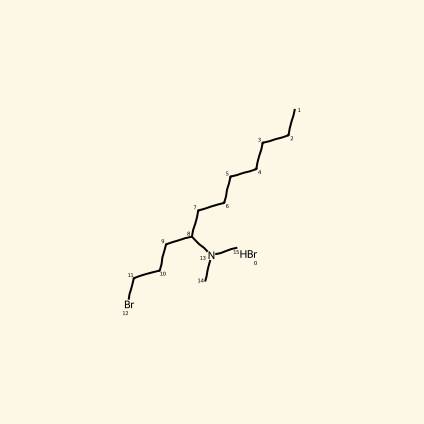 Br.CCCCCCCC(CCCBr)N(C)C